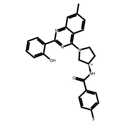 Cc1ccc2c(N3CC[C@@H](NC(=O)c4ccc(F)cc4)C3)nc(-c3ccccc3O)nc2c1